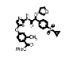 COC(=O)c1ccc(Oc2cnc(NC(=O)C(O[C@@H]3CCOC3)c3ccc(S(=O)(=O)C4CC4)cc3)s2)cc1C